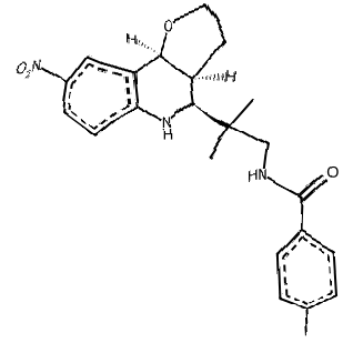 Cc1ccc(C(=O)NCC(C)(C)[C@H]2Nc3ccc([N+](=O)[O-])cc3[C@H]3OCC[C@H]32)cc1